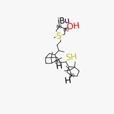 CCC(C)[C@H]1CS(C)(CCC(C)C2CC3CC([C@@H]2C)C3(C)CCC(S)C2C[C@H]3CCC2(C)C3(C)C)C[C@@H]1O